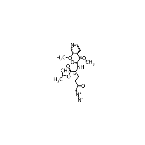 COc1cnccc1[C@@H](OC)C(=O)N[C@@H](CCC(=O)C=[N+]=[N-])C(=O)OC(C)C